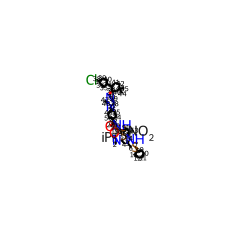 CC(C)N(C)CC[C@H](CSc1ccccc1)Nc1sc([S+]([O-])NC(=O)c2ccc(N3CCN(CC4=C(c5ccc(Cl)cc5)CCC(C)(C)C4)CC3)cc2)cc1[N+](=O)[O-]